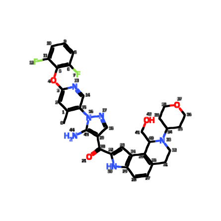 Cc1cc(Oc2c(F)cccc2F)ncc1-n1ncc(C(=O)c2cc3c4c(ccc3[nH]2)CCN(C2CCOCC2)C4CO)c1N